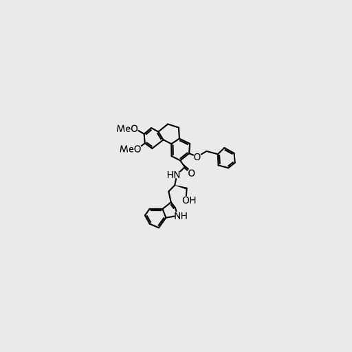 COc1cc2c(cc1OC)-c1cc(C(=O)N[C@@H](CO)Cc3c[nH]c4ccccc34)c(OCc3ccccc3)cc1CC2